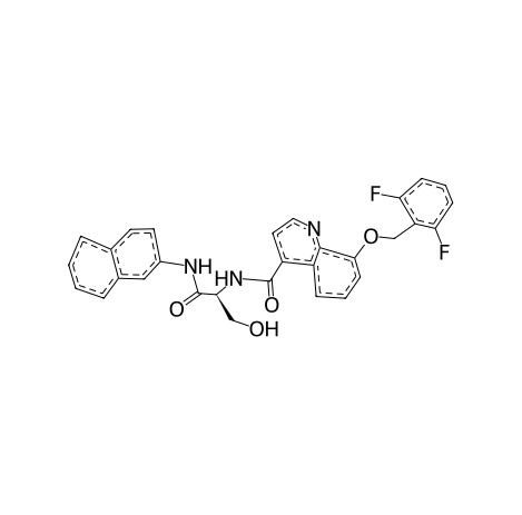 O=C(N[C@@H](CO)C(=O)Nc1ccc2ccccc2c1)c1ccnc2c(OCc3c(F)cccc3F)cccc12